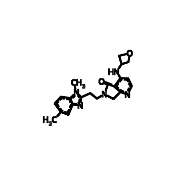 Cc1ccc2c(c1)nc(CCN1Cc3nccc(NC4COC4)c3C1=O)n2C